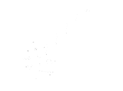 CCCCCCCCCCCCCCCCCCC(C(=O)[O-])(C(C(=O)O)(C(=O)O)C(C)O)[N+](C)(C)C